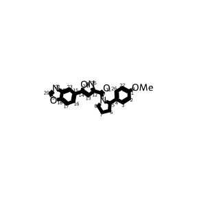 COc1ccc(C2CCCN2C(=O)c2cc(-c3ccc4ocnc4c3)on2)cc1